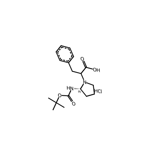 CC(C)(C)OC(=O)N[C@H]1CCCN1C(Cc1ccccc1)C(=O)O.Cl